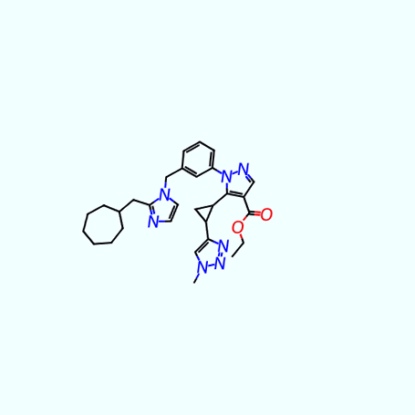 CCOC(=O)c1cnn(-c2cccc(Cn3ccnc3CC3CCCCCC3)c2)c1C1CC1c1cn(C)nn1